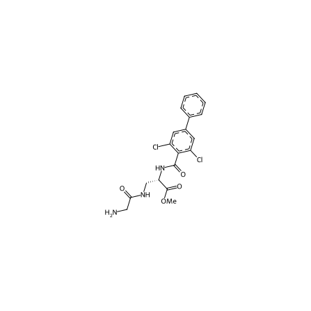 COC(=O)[C@H](CNC(=O)CN)NC(=O)c1c(Cl)cc(-c2ccccc2)cc1Cl